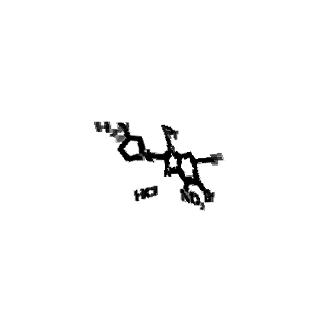 CC(C)n1c(N2CC[C@@H](N)C2)nc2c([N+](=O)[O-])c(Br)c(F)cc21.Cl